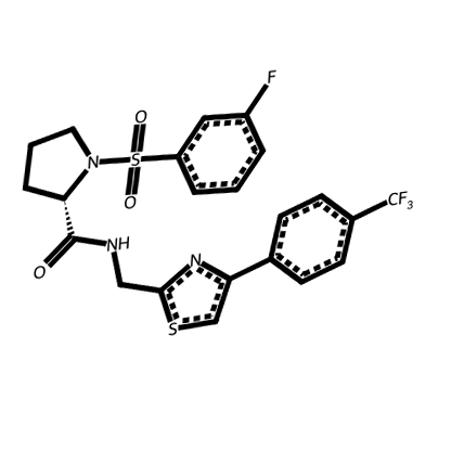 O=C(NCc1nc(-c2ccc(C(F)(F)F)cc2)cs1)[C@@H]1CCCN1S(=O)(=O)c1cccc(F)c1